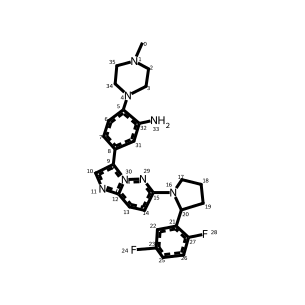 CN1CCN(c2ccc(-c3cnc4ccc(N5CCCC5c5cc(F)ccc5F)nn34)cc2N)CC1